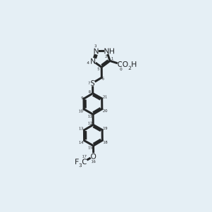 O=C(O)c1[nH]nnc1CSc1ccc(-c2ccc(OC(F)(F)F)cc2)cc1